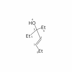 CCC=CC(O)(CC)CC